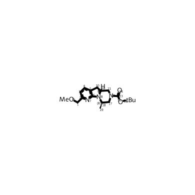 COCc1ccc2c(n1)N1[C@H](C2)CN(C(=O)OC(C)(C)C)C[C@H]1C